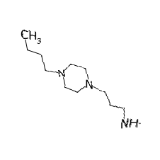 CCCCN1CCN(CCC[NH])CC1